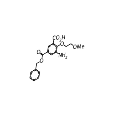 COCCOc1c(N)cc(C(=O)OCc2ccccc2)cc1C(=O)O